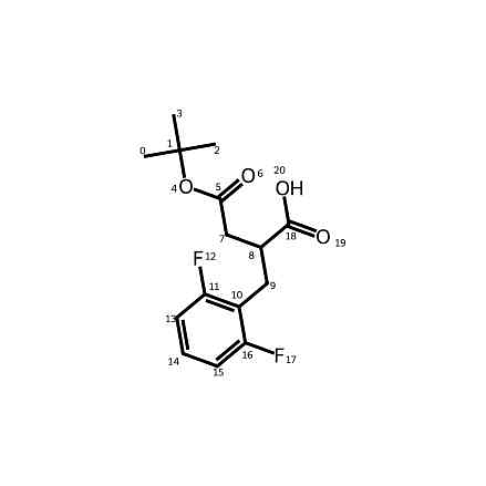 CC(C)(C)OC(=O)CC(Cc1c(F)cccc1F)C(=O)O